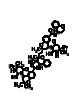 CC(C)[C@]1(C)CC(=O)N([C@@H]2CC(C)(C)Oc3ccc(C(=O)N[C@@H]4c5ccccc5OC(C)(CCC5(C)C[C@@H](N6C(=N)N[C@](C)(C(C)C)CC6=O)c6cc(C(=O)N[C@H]7CCOc8ccccc87)ccc6O5)[C@H]4O)cc32)C(=N)N1